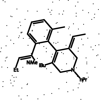 C/C=C1\CN(CCC)CC(C(C)CC)=C1c1c(C)cccc1/C(=C/CC)NC